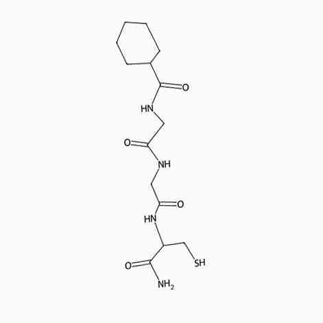 NC(=O)C(CS)NC(=O)CNC(=O)CNC(=O)C1CCCCC1